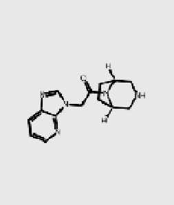 O=C(Cn1cnc2cccnc21)N1[C@@H]2CC[C@H]1CNC2